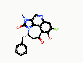 Cn1c(=O)n2c3c4c(c(Br)c(F)cc4ncc31)C(=O)C[C@@H]2Cc1ccccc1